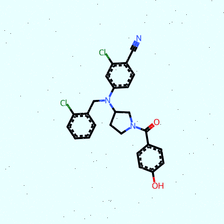 N#Cc1ccc(N(Cc2ccccc2Cl)C2CCN(C(=O)c3ccc(O)cc3)C2)cc1Cl